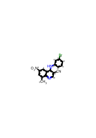 Cc1cc([N+](=O)[O-])cc2c(Nc3cccc(Br)c3)c(C#N)cnc12